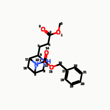 COC(=O)CCC1NCC2CC1N2C(=O)OCc1ccccc1